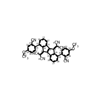 N#CC(C#N)=C1C2=C(C(=C(C#N)C#N)c3c2cccc3-c2ccc(OC(F)(F)F)cc2C#N)c2cccc(-c3ccc(OC(F)(F)F)cc3C#N)c21